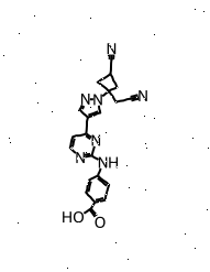 N#CCC1(n2cc(-c3ccnc(Nc4ccc(C(=O)O)cc4)n3)cn2)CC(C#N)C1